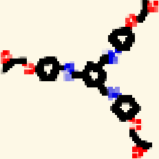 C(=N\c1ccc(OCC2CO2)cc1)/c1cc(/C=N/c2ccc(OCC3CO3)cc2)cc(/C=N/c2ccc(OCC3CO3)cc2)c1